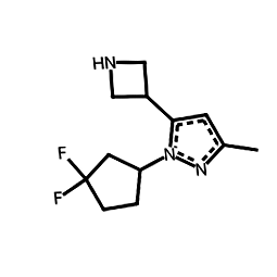 Cc1cc(C2CNC2)n(C2CCC(F)(F)C2)n1